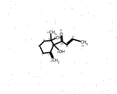 C=C1CCCC(C)(C)C1(O)C(=O)C=CC